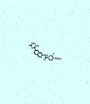 CN[C@@H]1CCN(C(=O)Nc2cc3cc(C(=N)SC(C)=N)ccc3cn2)C[C@@H]1F